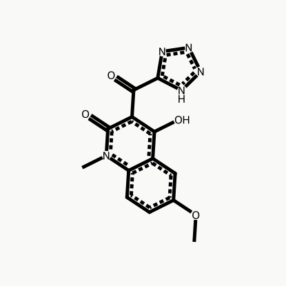 COc1ccc2c(c1)c(O)c(C(=O)c1nnn[nH]1)c(=O)n2C